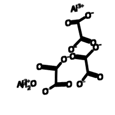 O.O=C([O-])C(=O)[O-].O=C([O-])C(=O)[O-].O=C([O-])C(=O)[O-].[Al+3].[Al+3]